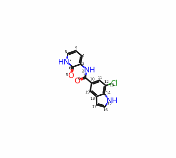 O=C(Nc1ccc[nH]c1=O)c1cc(Cl)c2[nH]ccc2c1